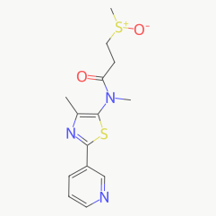 Cc1nc(-c2cccnc2)sc1N(C)C(=O)CC[S+](C)[O-]